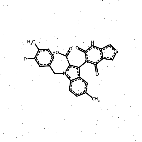 Cc1ccc2c(c1)c(-n1c(=O)[nH]c3cscc3c1=O)c(C(=O)O)n2Cc1ccc(C)c(F)c1